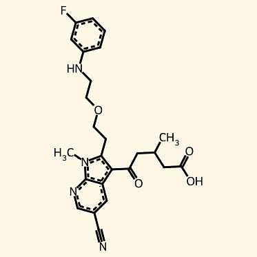 CC(CC(=O)O)CC(=O)c1c(CCOCCNc2cccc(F)c2)n(C)c2ncc(C#N)cc12